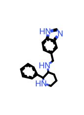 c1ccc(C2NCCCC2NCc2ccc3[nH]cnc3c2)cc1